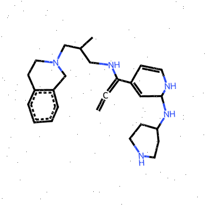 C=C=C(NCC(C)CN1CCc2ccccc2C1)C1=CC(NC2CCNCC2)NC=C1